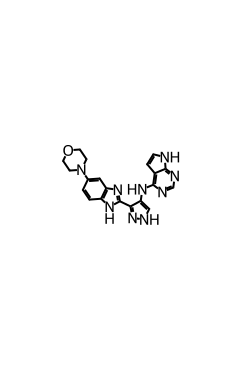 c1nc(Nc2c[nH]nc2-c2nc3cc(N4CCOCC4)ccc3[nH]2)c2cc[nH]c2n1